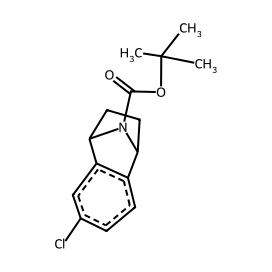 CC(C)(C)OC(=O)N1C2CCC1c1cc(Cl)ccc12